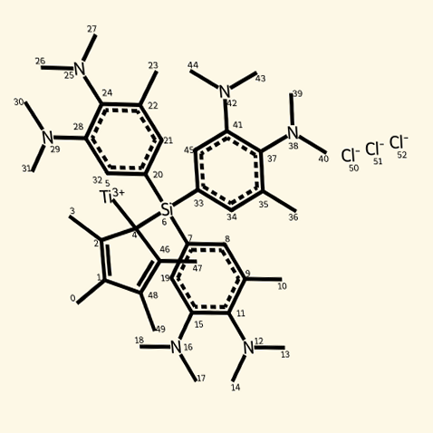 CC1=C(C)[C]([Ti+3])([Si](c2cc(C)c(N(C)C)c(N(C)C)c2)(c2cc(C)c(N(C)C)c(N(C)C)c2)c2cc(C)c(N(C)C)c(N(C)C)c2)C(C)=C1C.[Cl-].[Cl-].[Cl-]